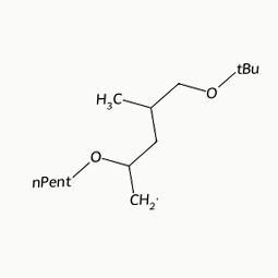 [CH2]C(CC(C)COC(C)(C)C)OCCCCC